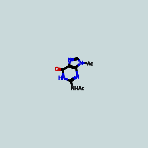 CC(=O)Nc1nc2c(ncn2C(C)=O)c(=O)[nH]1